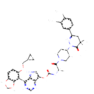 COc1ccc(C2=NN(C3CCN(C(=O)[C@@H](C)NC(=O)Oc4c[nH]c5c(-c6c(OCC7CC7)ccc7c6OCO7)ncnc45)CC3)C(=O)C(C)(C)C2)cc1OC